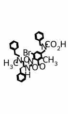 Cc1c(CN(Cc2ccccc2)C(=O)O)cc(Br)c2nc(N[C@@H](Cc3ccccc3)C(=O)N(C)CCc3ccccc3)oc(=O)c12